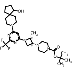 C[C@@H]1[C@H](N2CCN(C(=O)OC(C)(C)C)CC2)CN1c1cc(N2CCC3(CCCC3O)CC2)nc(C(F)(F)F)n1